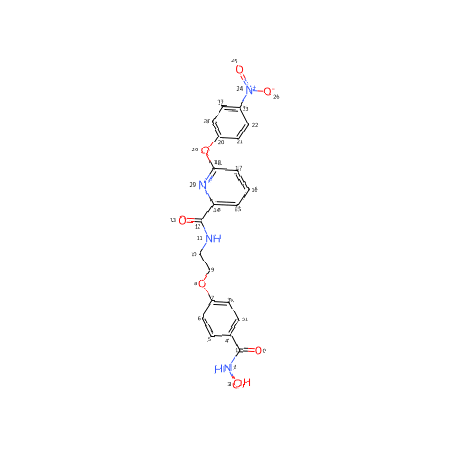 O=C(NO)c1ccc(OCCNC(=O)c2cccc(Oc3ccc([N+](=O)[O-])cc3)n2)cc1